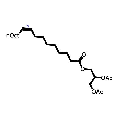 CCCCCCCC/C=C\CCCCCCCC(=O)OCC(COC(C)=O)OC(C)=O